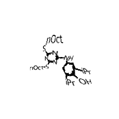 CCCCCCCCSc1nc(Nc2cc(C(C)C)c(O)c(C(C)C)c2)nc(SCCCCCCCC)n1